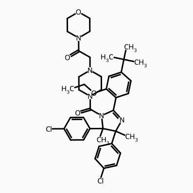 CCOc1cc(C(C)(C)C)ccc1C1=NC(C)(c2ccc(Cl)cc2)C(C)(c2ccc(Cl)cc2)N1C(=O)N1CCN(CC(=O)N2CCOCC2)CC1